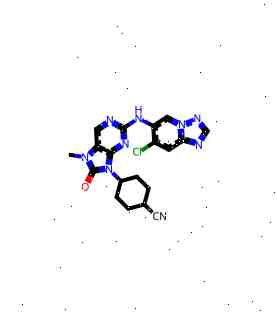 Cn1c(=O)n(C2CCC(C#N)CC2)c2nc(Nc3cn4ncnc4cc3Cl)ncc21